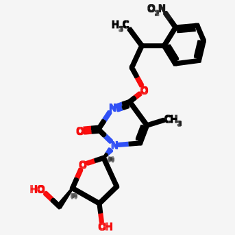 Cc1cn([C@H]2CC(O)[C@@H](CO)O2)c(=O)nc1OCC(C)c1ccccc1[N+](=O)[O-]